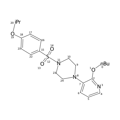 CCCCOc1ncccc1N1CCN(S(=O)(=O)c2ccc(OC(C)C)cc2)CC1